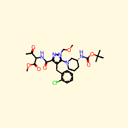 COCn1nc(C(=O)NC(C(C)=O)C(=O)OC)c(Cc2ccccc2Cl)c1N1CCC[C@@H](NC(=O)OC(C)(C)C)C1